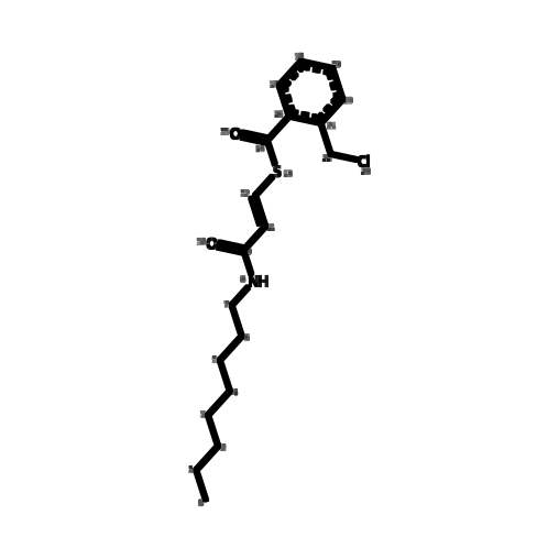 CCCCCCCCNC(=O)C=CSC(=O)c1ccccc1CCl